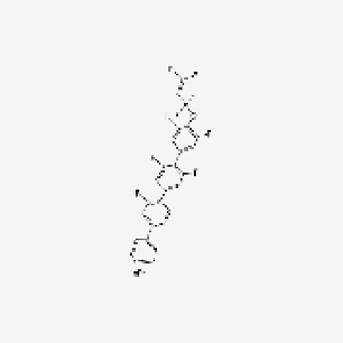 CCCc1ccc(-c2ccc(-c3cc(F)c(-c4cc(F)c(OC(F)(F)C=C(F)F)c(F)c4)c(F)c3)c(F)c2)cc1